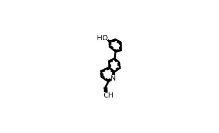 C#Cc1ccc2cc(-c3cccc(O)c3)ccc2n1